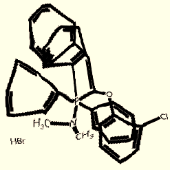 Br.CN(C)P(C(=Cc1ccccc1)Oc1ccccc1Cl)(c1ccccc1)(c1ccccc1)c1ccccc1